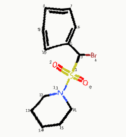 O=S(=O)(C(Br)c1ccccc1)N1CCCCC1